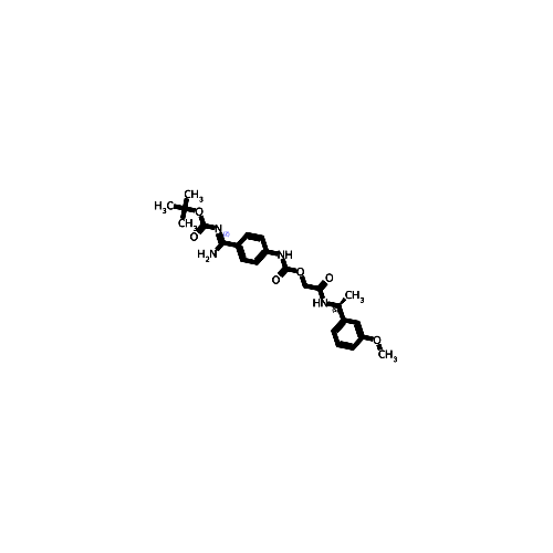 COc1cccc([C@H](C)NC(=O)COC(=O)Nc2ccc(/C(N)=N/C(=O)OC(C)(C)C)cc2)c1